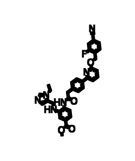 CCn1cncc1CNc1cc(C(=O)OC)ccc1NC(=O)Cc1ccc(-c2cccc(OCc3ccc(C#N)cc3F)n2)cc1